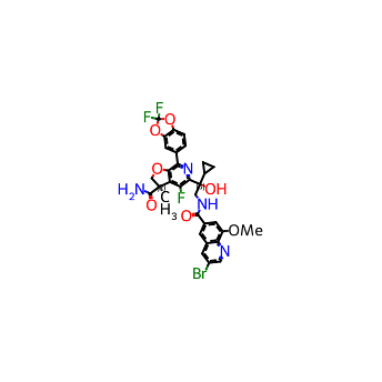 COc1cc(C(=O)NC[C@](O)(c2nc(-c3ccc4c(c3)OC(F)(F)O4)c3c(c2F)[C@@](C)(C(N)=O)CO3)C2CC2)cc2cc(Br)cnc12